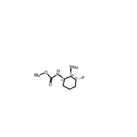 CN[C@H]1[C@H](F)CCC[C@H]1NC(=O)OC(C)(C)C